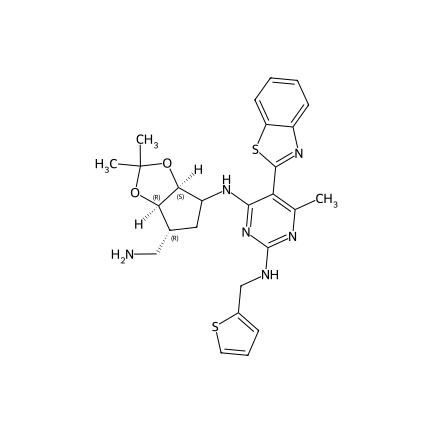 Cc1nc(NCc2cccs2)nc(NC2C[C@H](CN)[C@H]3OC(C)(C)O[C@@H]23)c1-c1nc2ccccc2s1